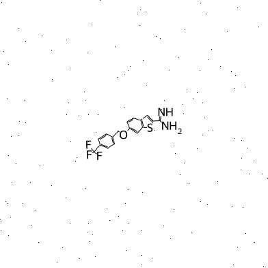 N=C(N)c1cc2ccc(OCc3ccc(C(F)(F)F)cc3)cc2s1